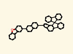 c1ccc2c(c1)-c1ccccc1C21c2ccccc2-c2ccc3cc(-c4ccc5cc(-c6ccc7oc8ccccc8c7c6)ccc5c4)ccc3c21